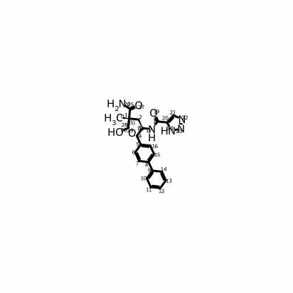 C[C@](C[C@H](Cc1ccc(-c2ccccc2)cc1)NC(=O)c1cnn[nH]1)(C(N)=O)C(=O)O